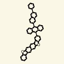 c1ccc(-c2ccc3cc(-c4c5ccccc5c(-c5ccc6oc7cc8cc9c(cc8cc7c6c5)oc5ccccc59)c5ccccc45)ccc3c2)cc1